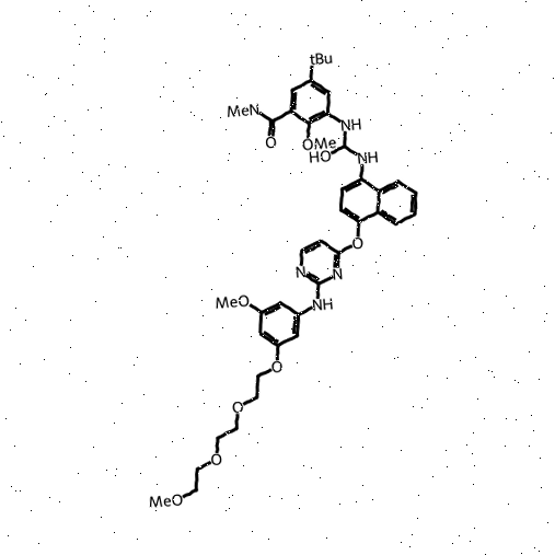 CNC(=O)c1cc(C(C)(C)C)cc(NC(O)Nc2ccc(Oc3ccnc(Nc4cc(OC)cc(OCCOCCOCCOC)c4)n3)c3ccccc23)c1OC